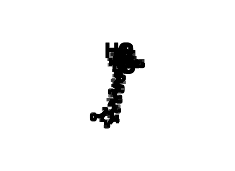 CCCC(CC)CCCCCCCCCN(C)[C@@H](CC)C1(CO)OC1C